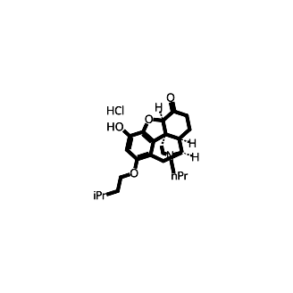 CCCN1CC[C@]23c4c5c(OCCC(C)C)cc(O)c4O[C@H]2C(=O)CC[C@H]3[C@H]1C5.Cl